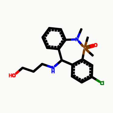 CN1c2ccccc2C(NCCCO)c2ccc(Cl)cc2S1(C)(C)=O